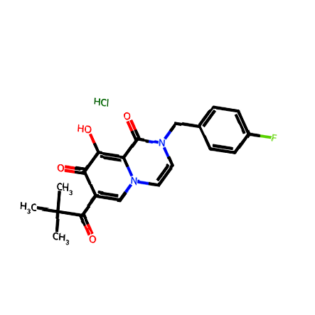 CC(C)(C)C(=O)c1cn2ccn(Cc3ccc(F)cc3)c(=O)c2c(O)c1=O.Cl